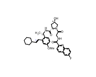 COc1ccc([C@H](C)NC(=O)[C@@H]2C[C@@H](O)CN2C(=O)CNC(=O)c2ccc3cc(F)ccc3n2)c(/C=C/C2CCCCC2)c1